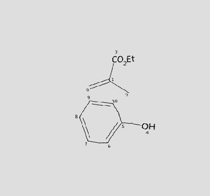 C=C(C)C(=O)OCC.Oc1ccccc1